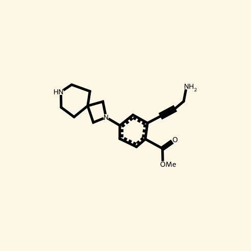 COC(=O)c1ccc(N2CC3(CCNCC3)C2)cc1C#CCN